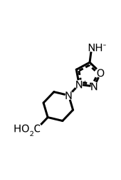 [NH-]c1c[n+](N2CCC(C(=O)O)CC2)no1